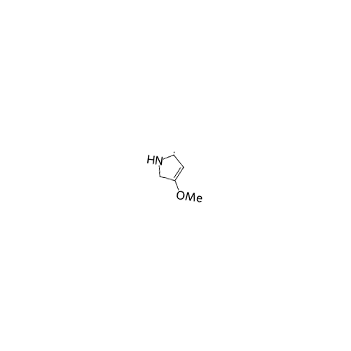 COC1=C[CH]NC1